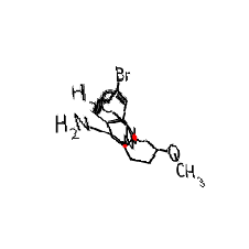 COC1CCC23Cc4ccc(Br)cc4C2(C1)CN(C)C(N)=N3